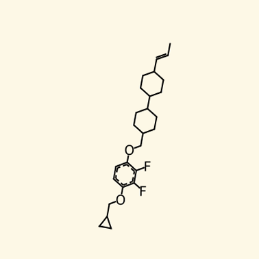 C/C=C/C1CCC(C2CCC(COc3ccc(OCC4CC4)c(F)c3F)CC2)CC1